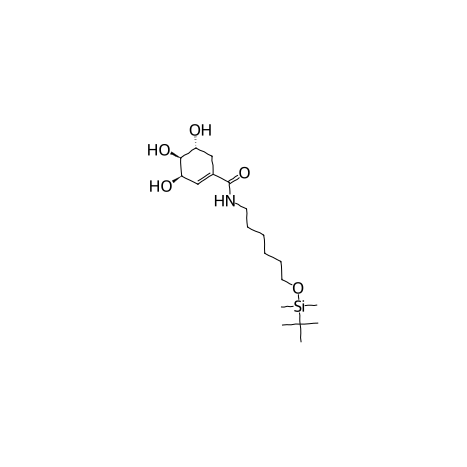 CC(C)(C)[Si](C)(C)OCCCCCCNC(=O)C1=C[C@@H](O)[C@@H](O)[C@H](O)C1